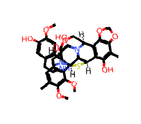 COc1cc2c(cc1O)CCN[C@]21CS[C@@H]2c3c(O)c(C)c4c(c3[C@H](COC1=O)N1C2[C@H]2c3c(cc(C)c(OC)c3OC)C[C@@H]([C@@H]1O)N2C)OCO4